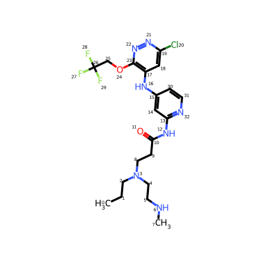 CCCN(CCNC)CCC(=O)Nc1cc(Nc2cc(Cl)nnc2OCC(F)(F)F)ccn1